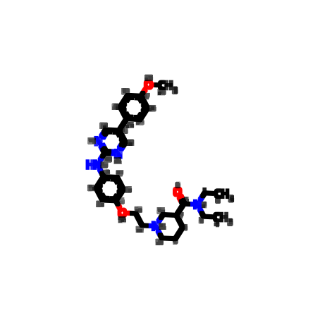 CCN(CC)C(=O)C1CCCN(CCOc2ccc(Nc3ncc(-c4ccc(OC)cc4)cn3)cc2)C1